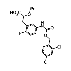 CC(C)OC(Cc1cc(NC(=O)OCc2ccc(Cl)cc2Cl)ccc1F)C(=O)O